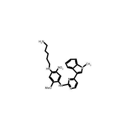 COc1cc(NCCCCCN)c([N+](=O)[O-])cc1Nc1nccc(-c2cn(C)c3ccccc23)n1